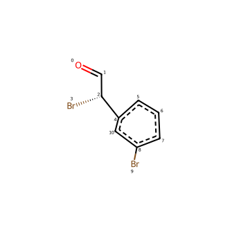 O=C[C@@H](Br)c1cccc(Br)c1